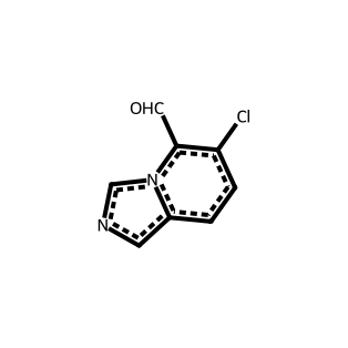 O=Cc1c(Cl)ccc2cncn12